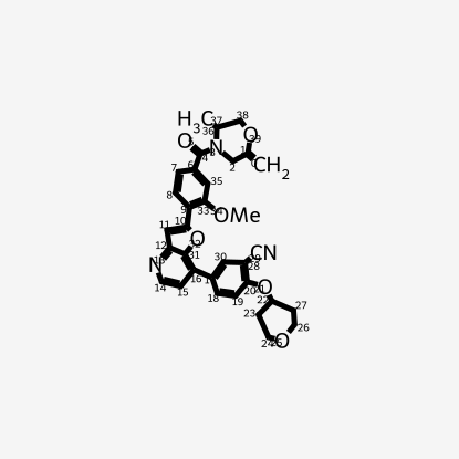 C=C1CN(C(=O)c2ccc(-c3cc4nccc(-c5ccc(OC6CCOCC6)c(C#N)c5)c4o3)c(OC)c2)C(C)CO1